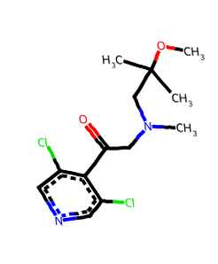 COC(C)(C)CN(C)CC(=O)c1c(Cl)cncc1Cl